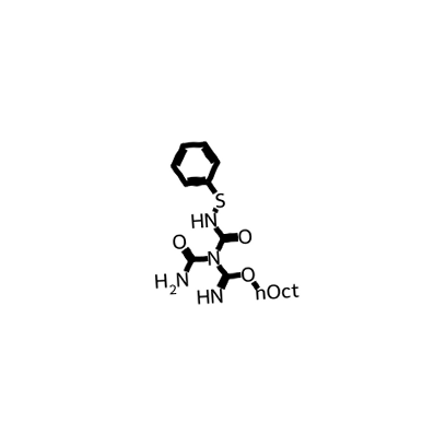 CCCCCCCCOC(=N)N(C(N)=O)C(=O)NSc1ccccc1